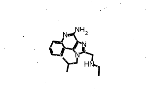 CCNCc1nc2c(N)nc3ccccc3c2n1CC(C)C